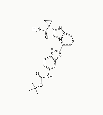 CC(C)(C)OC(=O)Nc1ccc2sc(-c3cccc4nc(C5(C(N)=O)CC5)nn34)cc2c1